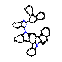 c1ccc2c(c1)cc(-c1nc(-n3c4ccccc4c4c5c6ccccc6n6c7ccc8ccccc8c7c(cc43)c56)c3ccccc3n1)c1ccccc12